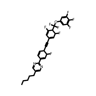 CCCCCc1cnc(C2=CC(F)C(C#CC3=CC(F)C(C(F)(F)Oc4cc(F)c(F)c(F)c4)C(F)=C3)C=C2)nc1